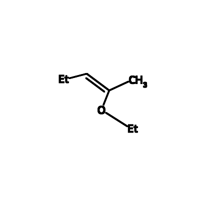 CCC=C(C)OCC